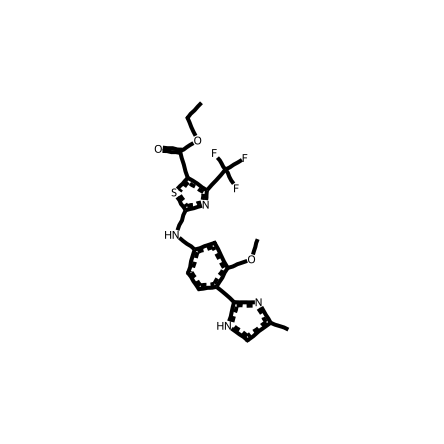 CCOC(=O)c1sc(Nc2ccc(-c3nc(C)c[nH]3)c(OC)c2)nc1C(F)(F)F